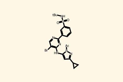 CC(=O)n1nc(C2CC2)cc1Nc1nc(-c2cccc(S(=O)(=O)NC(C)(C)C)c2)ncc1Br